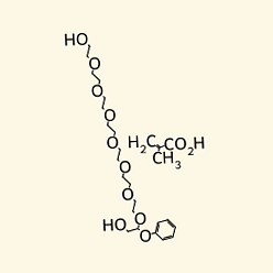 C=C(C)C(=O)O.OCCOCCOCCOCCOCCOCCOCCOC(CO)Oc1ccccc1